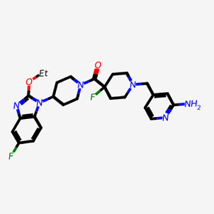 CCOc1nc2cc(F)ccc2n1C1CCN(C(=O)C2(F)CCN(Cc3ccnc(N)c3)CC2)CC1